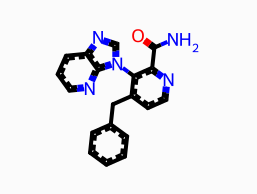 NC(=O)c1nccc(Cc2ccccc2)c1-n1cnc2cccnc21